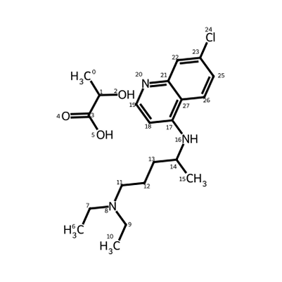 CC(O)C(=O)O.CCN(CC)CCCC(C)Nc1ccnc2cc(Cl)ccc12